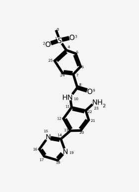 CS(=O)(=O)c1ccc(C(=O)Nc2cc(-c3ncccn3)ccc2N)cc1